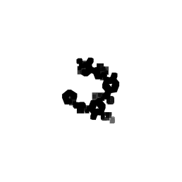 Cc1ccc(C(=O)Nc2cc(NCCN3CCCC3)c(C)c(C(F)(F)F)c2)cc1-n1cc(-c2cnn(C)c2C)nn1